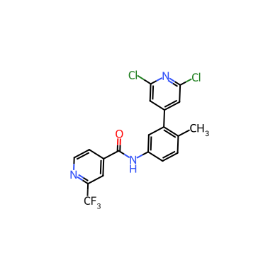 Cc1ccc(NC(=O)c2ccnc(C(F)(F)F)c2)cc1-c1cc(Cl)nc(Cl)c1